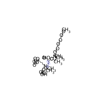 COCCOCCOCCOCCOCCOCCN1c2cc(O)c(C(=C\Cc3ccccc3)/C=C/C=C3\N(CCCCCC(=O)ON4C(=O)CCC4=O)c4ccc(S(=O)(=O)O)cc4C3(C)C)cc2C(C)=CC1(C)C